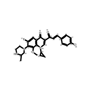 COc1c(N2CCNC(C)C2)c(F)cc2c(=O)c(C(=O)C=Cc3ccc(Cl)cc3)cn(C3CC3)c12